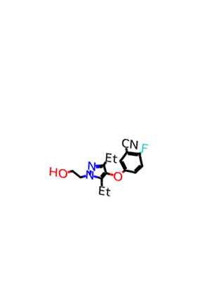 CCc1nn(CCO)c(CC)c1Oc1ccc(F)c(C#N)c1